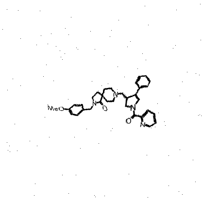 COc1ccc(CN2CCC3(CCN(CC4CN(C(=O)c5ccccn5)CC4c4ccccc4)CC3)C2=O)cc1